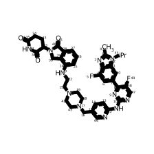 Cc1nc2c(F)cc(-c3nc(Nc4ccc(CN5CCN(CCNc6cccc7c6CN(C6CCC(=O)NC6=O)C7=O)CC5)cn4)ncc3F)cc2n1C(C)C